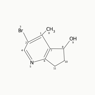 Cc1c(Br)cnc2c1C(O)CC2